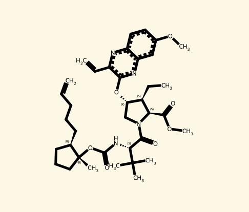 C=CCCC[C@@H]1CCC[C@@]1(C)OC(=O)N[C@H](C(=O)N1C[C@H](Oc2nc3cc(OC)ccc3nc2C=C)[C@@H](CC)[C@H]1C(=O)OC)C(C)(C)C